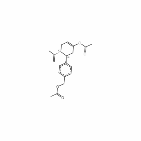 C=C(C)[C@@H]1CC=C(OC(C)=O)C[C@H]1c1ccc(COC(C)=O)cc1